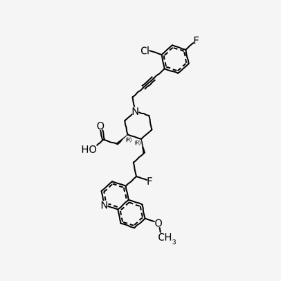 COc1ccc2nccc(C(F)CC[C@@H]3CCN(CC#Cc4ccc(F)cc4Cl)C[C@@H]3CC(=O)O)c2c1